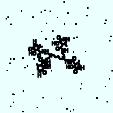 Cc1c[nH]c(=O)c(O)c1C(=O)NCCN(CCCCN(CCNC(=O)c1c(C)c[nH]c(=O)c1O)CCNC(=O)c1c(C)c[nH]c(=O)c1O)CCNC(=O)c1c(C)c[nH]c(=O)c1O